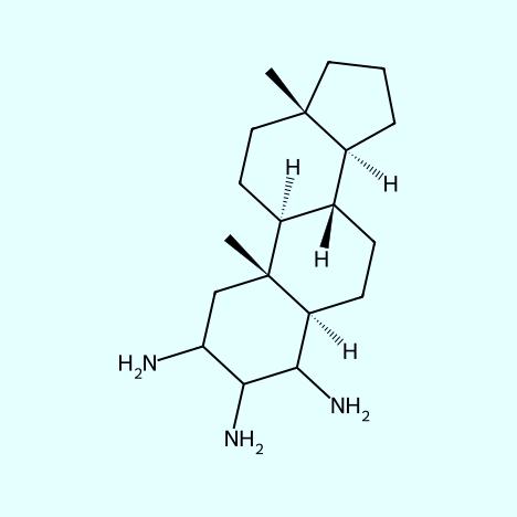 C[C@@]12CCC[C@H]1[C@@H]1CC[C@H]3C(N)C(N)C(N)C[C@]3(C)[C@H]1CC2